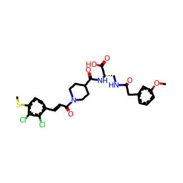 COc1cccc(CC(=O)NC[C@H](NC(=O)C2CCN(C(=O)/C=C/c3ccc(SC)c(Cl)c3Cl)CC2)C(=O)O)c1